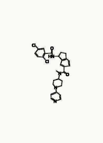 CN(C(=O)c1ccc2c(c1)C(NC(=O)c1cc(Cl)ccc1Cl)CC2)C1CCN(c2ccncc2)CC1